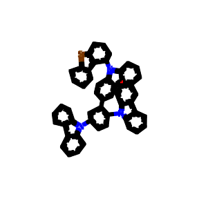 c1ccc2c(c1)sc1cccc(-n3c4ccccc4c4cc(-c5cc(-n6c7ccccc7c7ccccc76)ccc5-n5c6ccccc6c6ccccc65)ccc43)c12